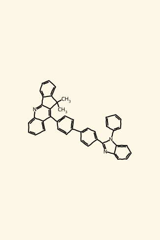 CC1(C)c2ccccc2-c2nc3ccccc3c(-c3ccc(-c4ccc(-c5nc6ccccc6n5-c5ccccc5)cc4)cc3)c21